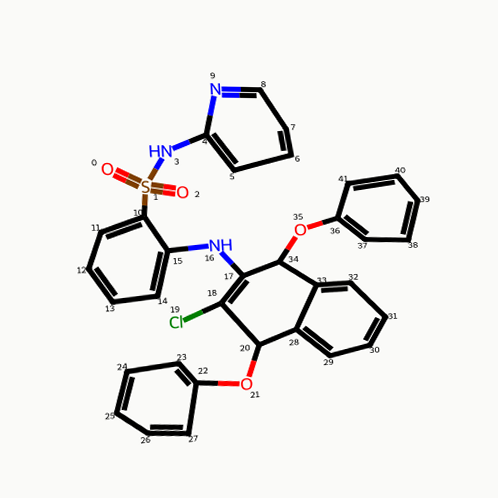 O=S(=O)(Nc1ccccn1)c1ccccc1NC1=C(Cl)C(Oc2ccccc2)c2ccccc2C1Oc1ccccc1